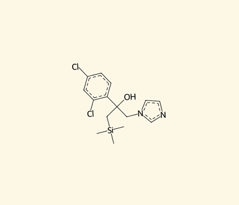 C[Si](C)(C)CC(O)(Cn1ccnc1)c1ccc(Cl)cc1Cl